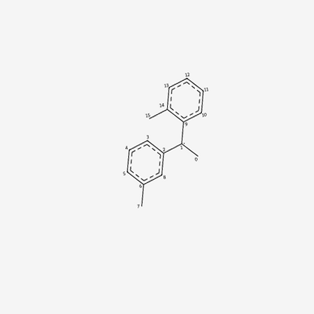 C[C](c1cccc(C)c1)c1ccccc1C